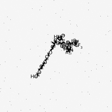 CC(COCCOCCOCCOCCOCCOCCO)C(=O)OCC(=O)[C@H](C[C@@H]1CCNC1=O)NC(=O)[C@@H]1[C@@H]2[C@H](CN1C(=O)[C@@H](NC(=O)C(F)(F)F)C(C)(C)C)C2(C)C